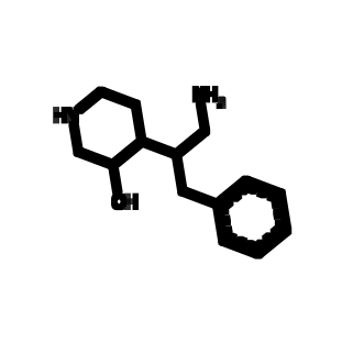 NCC(Cc1ccccc1)C1CCNCC1O